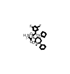 C[C@H](N)C(=O)N(C(=O)[C@@H](O)c1cc(F)cc(F)c1)[C@H]1C[C@H](c2ccccc2)C[C@@H](c2ccccc2)N(C)C1=O